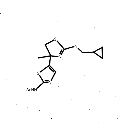 CC(=O)Nc1ncc(C2(C)CSC(NCC3CC3)=N2)s1